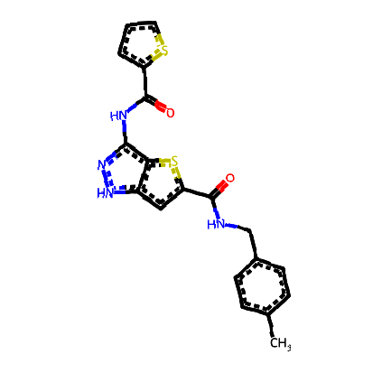 Cc1ccc(CNC(=O)c2cc3[nH]nc(NC(=O)c4cccs4)c3s2)cc1